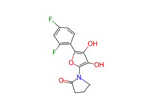 O=C1CCCN1c1oc(-c2ccc(F)cc2F)c(O)c1O